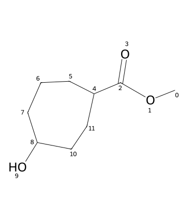 COC(=O)C1CCCC(O)CC1